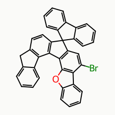 Brc1cc2c(c3oc4ccccc4c13)-c1c(ccc3c1-c1ccccc1C3)C21c2ccccc2-c2ccccc21